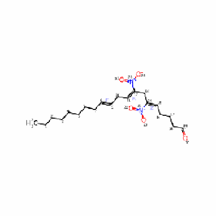 CCCCCCCC/C=C/C/C=C(/C/C(=C/CCC[C]=O)[N+](=O)[O-])[N+](=O)[O-]